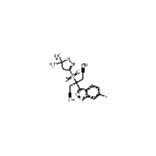 C#CCC(CC#C)(c1noc2cc(F)ccc12)S(=O)(=O)C1=NOC(C)(C)C1